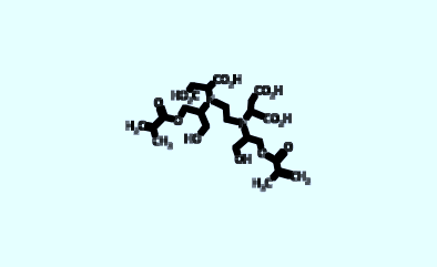 C=C(C)C(=O)OCC(CO)N(CCN(C(CO)COC(=O)C(=C)C)C(CC(=O)O)C(=O)O)C(CC(=O)O)C(=O)O